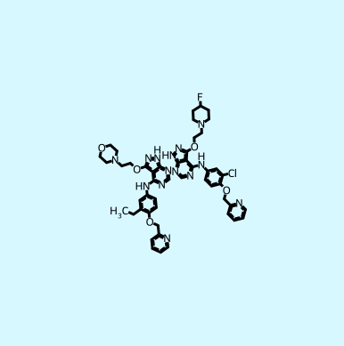 CCc1cc(Nc2ncnc3[nH]nc(OCCN4CCOCC4)c23)ccc1OCc1ccccn1.FC1CCN(CCOc2n[nH]c3ncnc(Nc4ccc(OCc5ccccn5)c(Cl)c4)c23)CC1